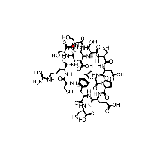 CC(C)C[C@H](NC(=O)[C@H](CC(=O)O)NC(=O)[C@H](CS)NC(=O)[C@H](CO)NC(=O)[C@H](CC(N)=O)NC(=O)[C@H](CO)NC(=O)[C@H](CO)NC(=O)[C@H](CC(=O)O)NC(=O)[C@H](CCCNC(=N)N)NC(=O)[C@@H](N)CS)C(=O)N1CCC[C@H]1C(=O)N[C@@H](CCC(=O)O)C(=O)N[C@@H](Cc1ccccc1)C(=O)N[C@@H](CS)C(=O)O